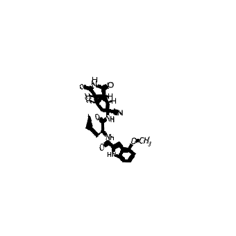 COc1cccc2[nH]c(C(=O)N[C@@H](CC3CC3)C(=O)NC3(C#N)C[C@H]4C[C@@H]3[C@H]3C(=O)NC(=O)[C@@H]43)cc12